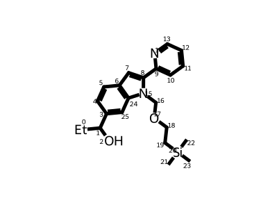 CCC(O)c1ccc2cc(-c3ccccn3)n(COCC[Si](C)(C)C)c2c1